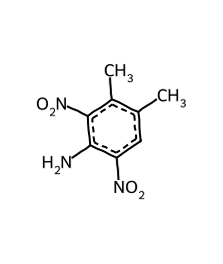 Cc1cc([N+](=O)[O-])c(N)c([N+](=O)[O-])c1C